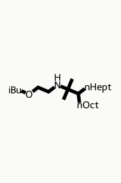 CCCCCCCCC(CCCCCCC)C(C)(C)NCCOC(C)CC